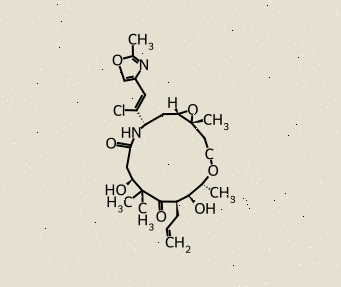 C=CC[C@H]1C(=O)C(C)(C)[C@@H](O)CC(=O)N[C@H](C(Cl)=Cc2coc(C)n2)C[C@@H]2O[C@]2(C)CCO[C@H](C)[C@H]1O